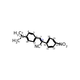 CN(C)c1ccc(/C=C(\C#N)c2ccc([N+](=O)[O-])cc2)cc1